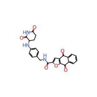 O=C1CCC(Nc2ccc(CNC(=O)c3cc4c(o3)C(=O)c3ccccc3C4=O)cc2)C(=O)N1